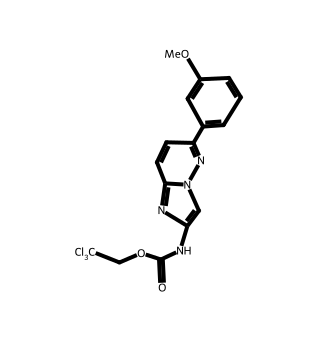 COc1cccc(-c2ccc3nc(NC(=O)OCC(Cl)(Cl)Cl)cn3n2)c1